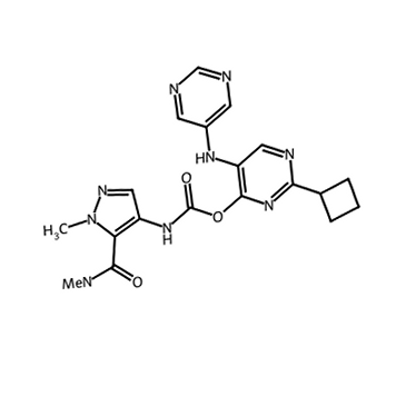 CNC(=O)c1c(NC(=O)Oc2nc(C3CCC3)ncc2Nc2cncnc2)cnn1C